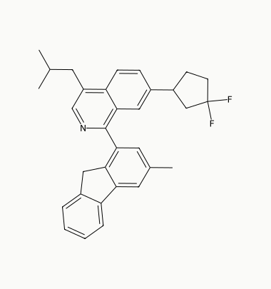 Cc1cc2c(c(-c3ncc(CC(C)C)c4ccc(C5CCC(F)(F)C5)cc34)c1)Cc1ccccc1-2